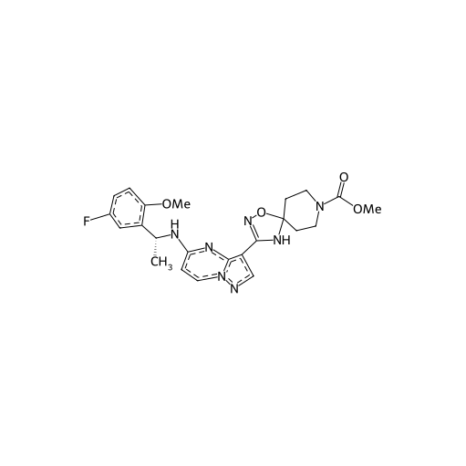 COC(=O)N1CCC2(CC1)NC(c1cnn3ccc(N[C@H](C)c4cc(F)ccc4OC)nc13)=NO2